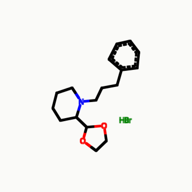 Br.c1ccc(CCCN2CCCCC2C2OCCO2)cc1